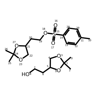 CC1(C)OCC(CCO)O1.Cc1ccc(S(=O)(=O)OCCC2COC(C)(C)O2)cc1